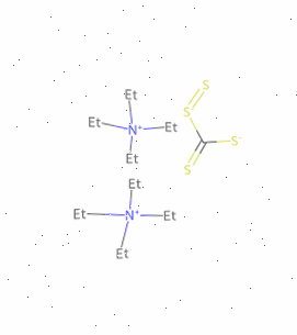 CC[N+](CC)(CC)CC.CC[N+](CC)(CC)CC.S=[S-]C(=S)[S-]